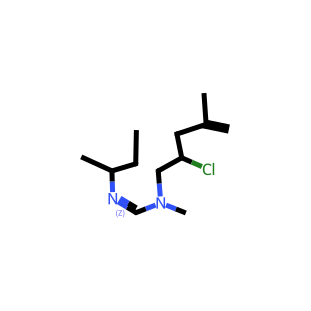 C=C(C)CC(Cl)CN(C)/C=N\C(C)CC